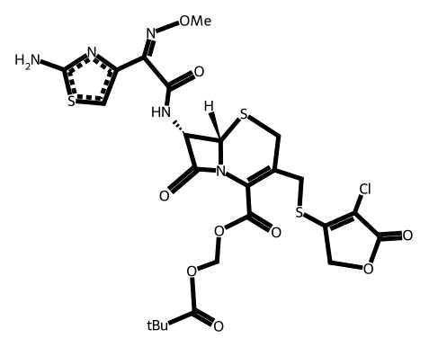 CO/N=C(\C(=O)N[C@H]1C(=O)N2C(C(=O)OCOC(=O)C(C)(C)C)=C(CSC3=C(Cl)C(=O)OC3)CS[C@@H]12)c1csc(N)n1